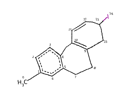 Cc1ccc2c(c1)CCC1=C2C=CC(I)C1